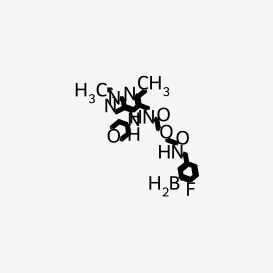 Bc1cc(CNC(=O)COCC(=O)NCc2c(CC)nc3c(cnn3CC)c2NC2CCOCC2)ccc1F